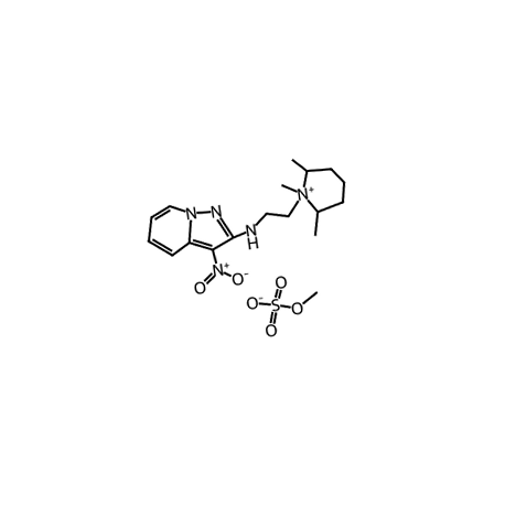 CC1CCCC(C)[N+]1(C)CCNc1nn2ccccc2c1[N+](=O)[O-].COS(=O)(=O)[O-]